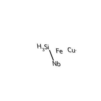 [Cu].[Fe].[SiH3][Nb]